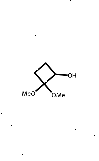 COC1(OC)CCC1O